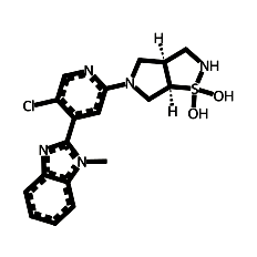 Cn1c(-c2cc(N3C[C@H]4CNS(O)(O)[C@H]4C3)ncc2Cl)nc2ccccc21